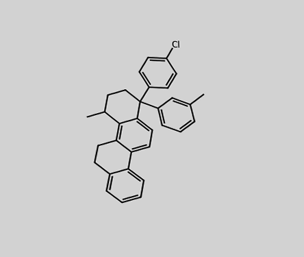 Cc1cccc(C2(c3ccc(Cl)cc3)CCC(C)c3c2ccc2c3CCc3ccccc3-2)c1